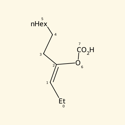 CCC=C(CCCCCCCC)OC(=O)O